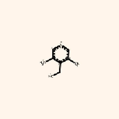 N#CCc1c(N)cncc1C#N